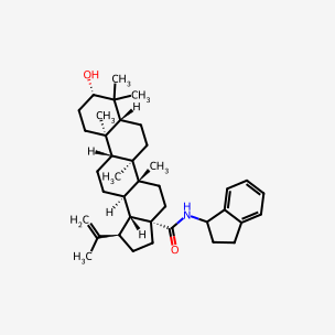 C=C(C)[C@@H]1CC[C@]2(C(=O)NC3CCc4ccccc43)CC[C@]3(C)[C@H](CC[C@@H]4[C@@]5(C)CC[C@H](O)C(C)(C)[C@@H]5CC[C@]43C)[C@@H]12